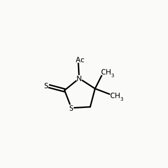 CC(=O)N1C(=S)SCC1(C)C